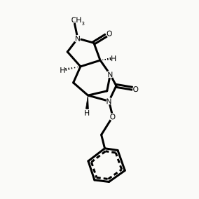 CN1C[C@@H]2C[C@@H]3CN(C(=O)N3OCc3ccccc3)[C@@H]2C1=O